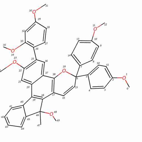 COc1ccc(C2(c3ccc(OC)cc3)C=Cc3c4c(c5cc(OC)c(-c6ccc(OC)cc6OC)cc5c3O2)-c2ccccc2C4(C)OC)cc1